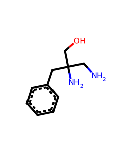 NCC(N)(CO)Cc1ccccc1